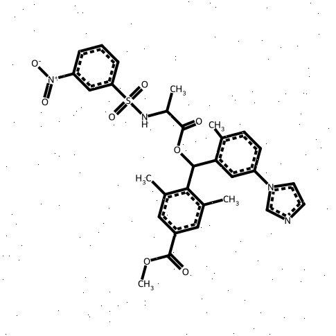 COC(=O)c1cc(C)c(C(OC(=O)C(C)NS(=O)(=O)c2cccc([N+](=O)[O-])c2)c2cc(-n3ccnc3)ccc2C)c(C)c1